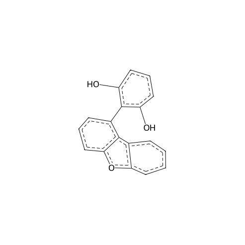 Oc1cccc(O)c1-c1cccc2oc3ccccc3c12